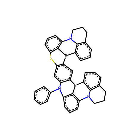 c1ccc(N2c3cc4c(cc3B3c5cccc6c5N(CCC6)c5cccc2c53)B2c3cccc5c3N(CCC5)c3cccc(c32)S4)cc1